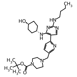 CCCCNc1ncc(-c2ccc(CN3CCN(C(=O)OC(C)(C)C)CC3)cn2)c(N[C@H]2CC[C@H](O)CC2)n1